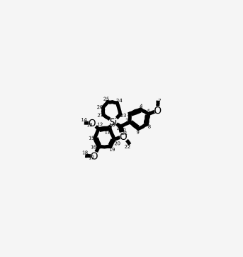 C=C(c1ccc(OC)cc1)[Si]1(c2c(OC)cc(OC)cc2OC)CCCCC1